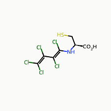 O=C(O)[C@H](CS)NC(Cl)=C(Cl)C(Cl)=C(Cl)Cl